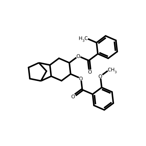 COc1ccccc1C(=O)OC1CC2C3CCC(C3)C2CC1OC(=O)c1ccccc1C